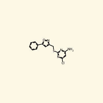 Nc1cc(Cl)nc(SCc2cc(-c3ccccc3)on2)n1